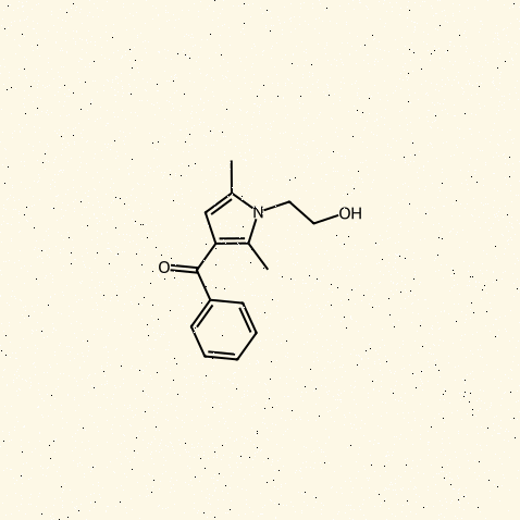 Cc1cc(C(=O)c2ccccc2)c(C)n1CCO